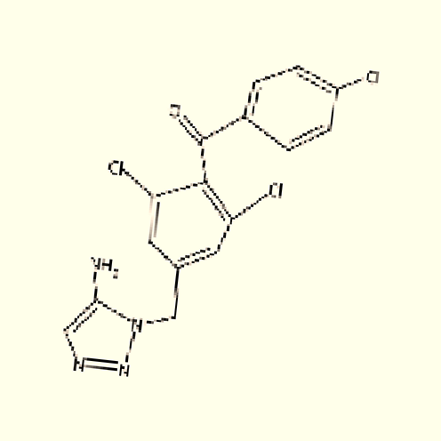 Nc1cnnn1Cc1cc(Cl)c(C(=O)c2ccc(Cl)cc2)c(Cl)c1